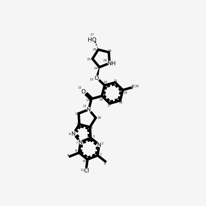 Cc1nc2c3c(nn2c(C)c1Cl)CN(C(=O)c1ccc(F)cc1O[C@H]1C[C@H](O)CN1)C3